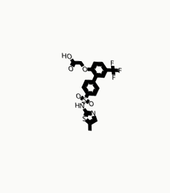 Cc1cnc(NS(=O)(=O)c2ccc(-c3cc(C(F)(F)F)ccc3OCC(=O)O)cc2)s1